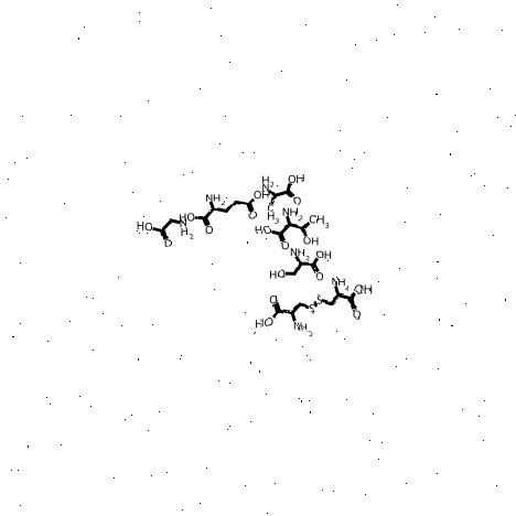 CC(N)C(=O)O.CC(O)C(N)C(=O)O.NC(CCC(=O)O)C(=O)O.NC(CO)C(=O)O.NC(CSSCC(N)C(=O)O)C(=O)O.NCC(=O)O